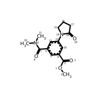 COC(=O)c1cc(C(=O)N(C)C)cc(N2CCCC2=O)c1